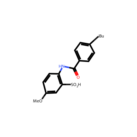 CCC(C)c1ccc(C(=O)Nc2ccc(OC)cc2S(=O)(=O)O)cc1